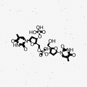 Cc1cn([C@@H]2C[C@H](OP(=O)(O)OC[C@H]3O[C@@H](n4cc(C)c(=O)[nH]c4=O)C[C@@H]3OP(=O)(O)O)[C@@H](CO)O2)c(=O)[nH]c1=O